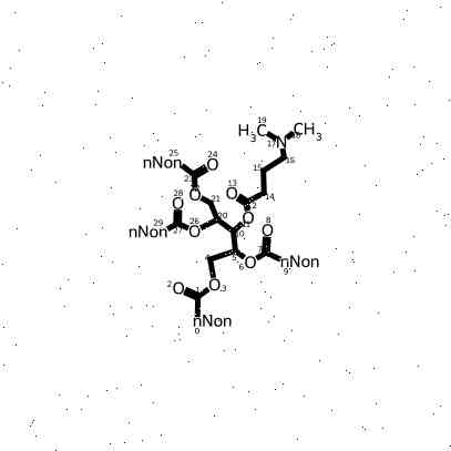 CCCCCCCCCC(=O)OCC(OC(=O)CCCCCCCCC)C(OC(=O)CCCN(C)C)C(COC(=O)CCCCCCCCC)OC(=O)CCCCCCCCC